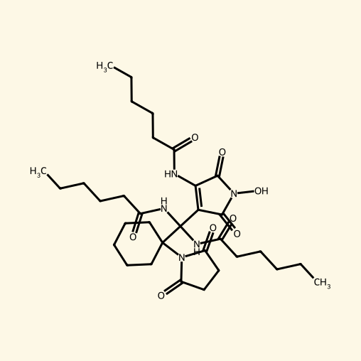 CCCCCC(=O)NC1=C(C(NC(=O)CCCCC)(NC(=O)CCCCC)C2(N3C(=O)CCC3=O)CCCCC2)C(=O)N(O)C1=O